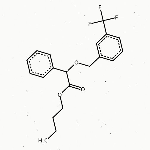 CCCCOC(=O)C(OCc1cccc(C(F)(F)F)c1)c1ccccc1